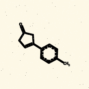 Cc1ccc(C2=CCC(=O)C2)cc1